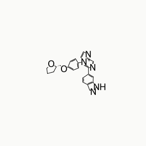 C1=C[N+]2(c3ccc(OC[C@@H]4CCCO4)cc3)C=C(c3ccc4cn[nH]c4c3)N=CC2=N1